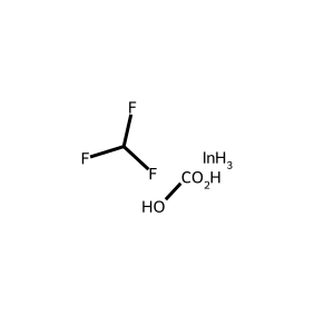 FC(F)F.O=C(O)O.[InH3]